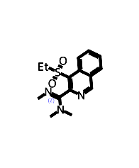 CCS(=O)(=O)c1c(/C(=N/C)N(C)C)ncc2ccccc12